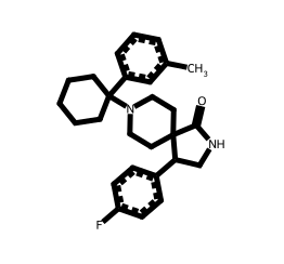 Cc1cccc(C2(N3CCC4(CC3)C(=O)NCC4c3ccc(F)cc3)CCCCC2)c1